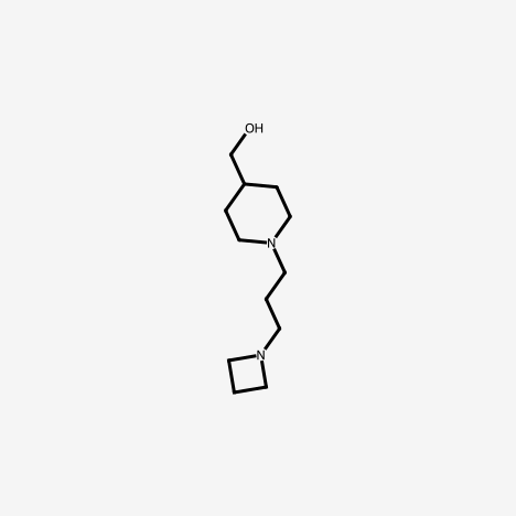 OCC1CCN(CCCN2CCC2)CC1